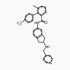 Cc1cccc(C(=O)Nc2ccc3c(c2)CC(NCc2ccncc2)C3)c1-c1ccc(C(F)(F)F)cc1